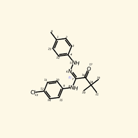 Cc1ccc(N/N=C(/Nc2ccc(Cl)cc2)C(=O)C(C)(C)C)cc1